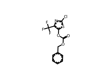 O=C(OCc1ccccc1)Oc1sc(Cl)nc1C(F)(F)F